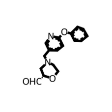 O=C[C@@H]1CN(Cc2ccc(Oc3ccccc3)nc2)CCO1